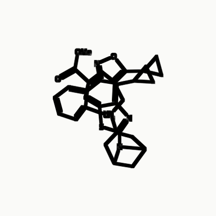 COC(=O)c1cc(C2CC2)c2nc(N3C4CC(NCc5c(-c6ccccc6C(F)(F)F)noc5C5CC5)CC3C4)sc2c1